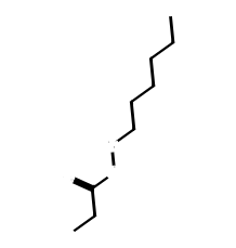 CCCCCCNOC(=O)CC